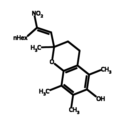 CCCCCC/C(=C\C1(C)CCc2c(C)c(O)c(C)c(C)c2O1)[N+](=O)[O-]